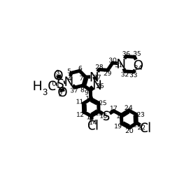 CS(=O)(=O)N1CCc2c(c(-c3ccc(Cl)c(SCc4ccc(Cl)cc4)c3)nn2CCCN2CCOCC2)C1